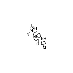 C=C(CN[C@@H](C)CN1C(=O)c2cc(Cl)ccc2Nc2ccccc21)N1C(C#N)C[C@@H]2C[C@@H]21